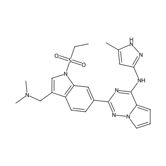 CCS(=O)(=O)n1cc(CN(C)C)c2ccc(-c3nc(Nc4cc(C)[nH]n4)c4cccn4n3)cc21